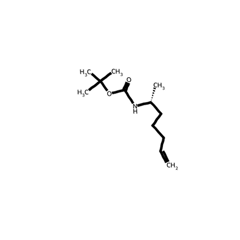 C=CCCC[C@@H](C)NC(=O)OC(C)(C)C